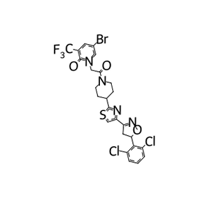 O=C(Cn1cc(Br)cc(C(F)(F)F)c1=O)N1CCC(c2nc(C3=NOC(c4c(Cl)cccc4Cl)C3)cs2)CC1